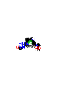 COc1cc(-c2nccc(-c3cccc(-c4ccc(CNCC5CCC(=O)N5)c(OC)n4)c3Cl)c2Cl)ccc1CN1CCCC1C(=O)OC(C)C